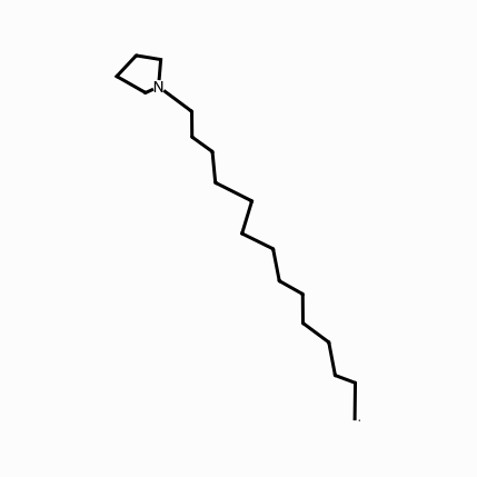 [CH2]CCCCCCCCCCCCCN1CCCC1